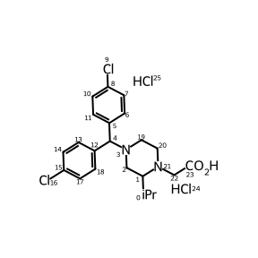 CC(C)C1CN(C(c2ccc(Cl)cc2)c2ccc(Cl)cc2)CCN1CC(=O)O.Cl.Cl